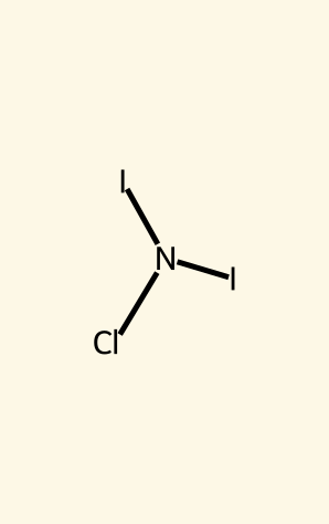 ClN(I)I